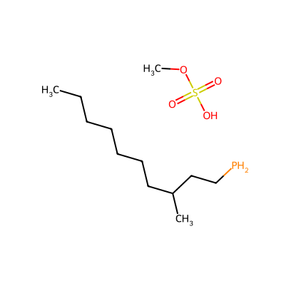 CCCCCCCC(C)CCP.COS(=O)(=O)O